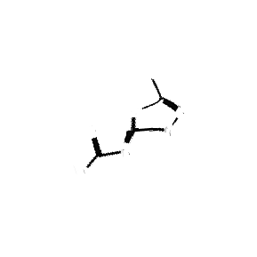 CCC(=O)N=C1[N]N=C(C)S1